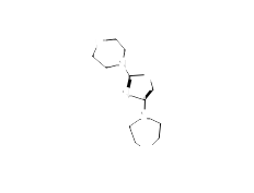 c1sc(N2CCOCC2)nc1N1CCOCC1